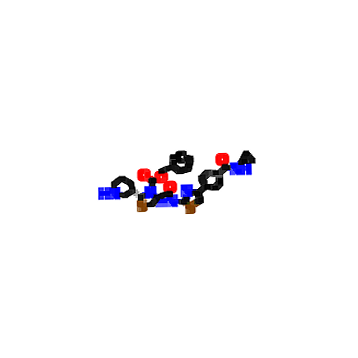 O=C(NC1CC1)c1ccc(-c2csc(NC(=O)C3CS[C@H](C4CCCNC4)N3C(=O)OCc3ccccc3)n2)cc1